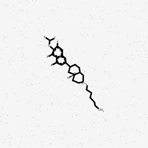 CCCCCCC[C@@H]1CC[C@@H]2CC(c3cc(F)c4c(F)c(OC(F)F)c(F)cc4c3)CCC2C1